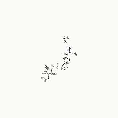 COCC/N=C(/N)Nc1nc(CCCCN2C(=O)c3ccccc3C2=O)cs1.Cl